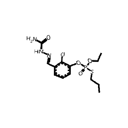 CCCSP(=O)(OCC)Oc1cccc(C=NNC(N)=O)c1Cl